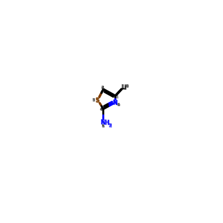 [Li][c]1csc(N)n1